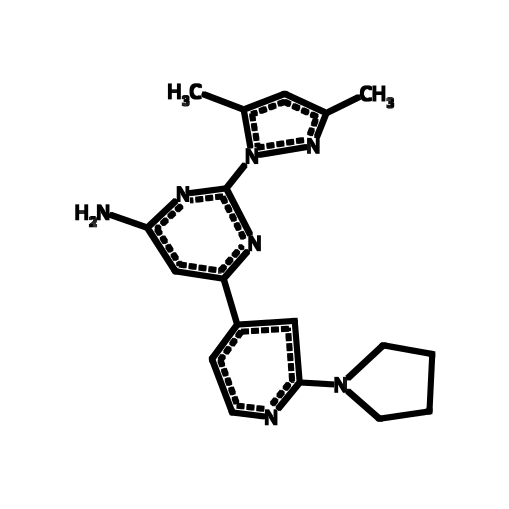 Cc1cc(C)n(-c2nc(N)cc(-c3ccnc(N4CCCC4)c3)n2)n1